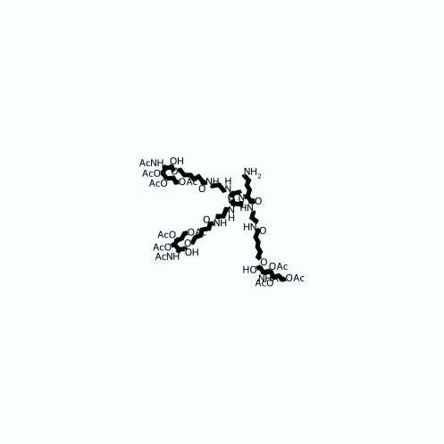 CC(=O)N/C(=C(/OC(C)=O)C(CCOC(C)=O)OC(C)=O)C(O)OCCCCCC(=O)NCCCNC(=O)C(CCCCN)N(CC(=O)NCCCNC(=O)CCCCCOC(O)C(NC(C)=O)C(OC(C)=O)C(CCOC(C)=O)OC(C)=O)CC(=O)NCCCNC(=O)CCCCCOC(O)C(NC(C)=O)C(OC(C)=O)C(CCOC(C)=O)OC(C)=O